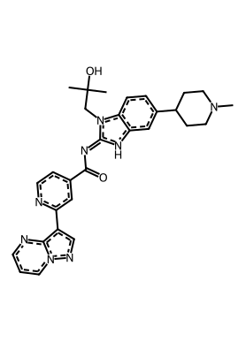 CN1CCC(c2ccc3c(c2)[nH]/c(=N\C(=O)c2ccnc(-c4cnn5cccnc45)c2)n3CC(C)(C)O)CC1